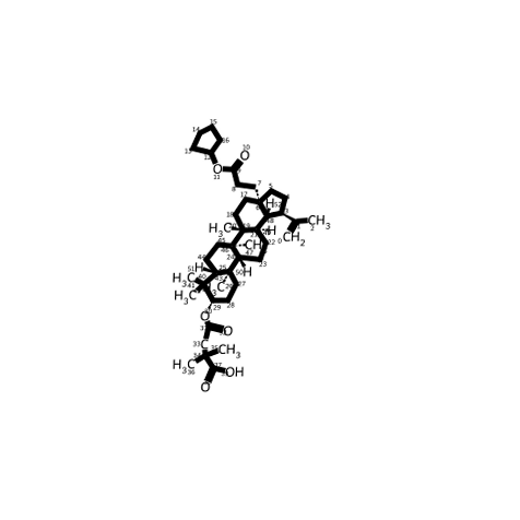 C=C(C)[C@@H]1CC[C@]2(CCC(=O)OC3CCCC3)CC[C@]3(C)[C@H](CC[C@@H]4[C@@]5(C)CC[C@H](OC(=O)CC(C)(C)C(=O)O)C(C)(C)[C@@H]5CC[C@]43C)[C@@H]12